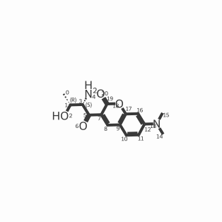 C[C@@H](O)[C@H](N)C(=O)c1cc2ccc(N(C)C)cc2oc1=O